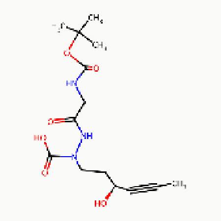 CC#C[C@@H](O)CCN(NC(=O)CNC(=O)OC(C)(C)C)C(=O)O